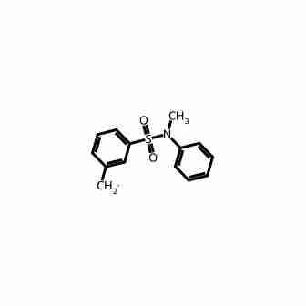 [CH2]c1cccc(S(=O)(=O)N(C)c2ccccc2)c1